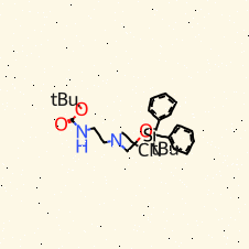 CC(C)(C)OC(=O)NCCN1CC(C#N)(O[Si](c2ccccc2)(c2ccccc2)C(C)(C)C)C1